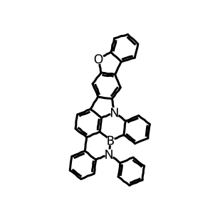 c1ccc(N2B3c4ccccc4-n4c5cc6c(cc5c5ccc(c3c54)-c3ccccc32)oc2ccccc26)cc1